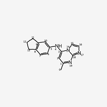 Cc1cc(Nc2ccc3c(c2)CCC3)n2ccnc2n1